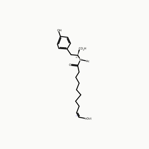 CCCCCCCC/C=C\CCCCCCCC(=O)N(C(C)=O)[C@@H](Cc1ccc(O)cc1)C(=O)O